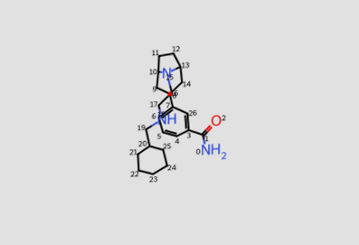 NC(=O)c1cccc(C2CC3CCC(C2)N3CCNCC2CCCCC2)c1